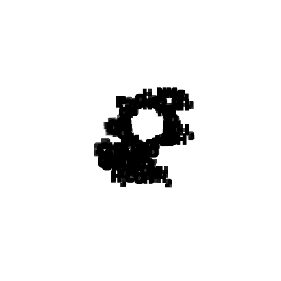 CNCCC1NC(=O)C(CC(C)C)NC(=O)C(Cc2ccccc2)NC(=O)C(CCNP)NC(=O)C(NC(=O)C(CCNP)NC(=O)C(NC(=O)C(CCNP)NC(=O)Nc2ccccc2Cl)C(C)O)CCNC(=O)C(C(C)O)NC(=O)C(CCNP)NC1=O